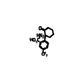 O=C(O)N[C@@]1(c2ccc(C(F)(F)F)cc2)CCCCC1=O